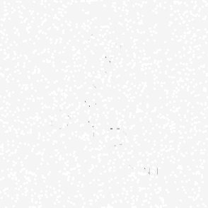 C1=CC(c2ccc(C3=CC(c4ccc(-n5c6ccccc6c6ccccc65)cc4)=NC(c4ccccc4)N3)cc2)=CCN1